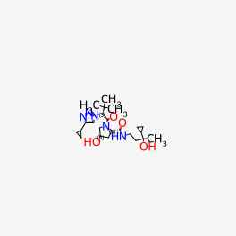 CC(O)(CCNC(=O)[C@@H]1C[C@@H](O)CN1C(=O)[C@@H](n1cc(C2CC2)nn1)C(C)(C)C)C1CC1